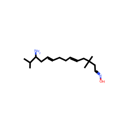 CC(C)C(N)CC=CCCC=CCC(C)(C)CC=NO